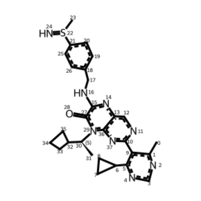 Cc1ncnc(C2CC2)c1-c1ncc2nc(NCc3ccc(S(C)=N)cc3)c(=O)n([C@@H](C)C3CCC3)c2n1